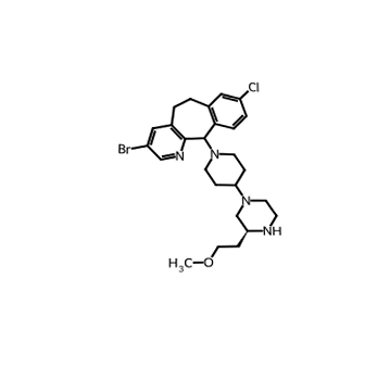 COCC[C@H]1CN(C2CCN(C3c4ccc(Cl)cc4CCc4cc(Br)cnc43)CC2)CCN1